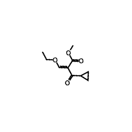 CCOC=C(C(=O)OC)C(=O)C1CC1